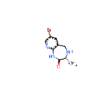 C[C@H]1NCc2cc(Br)cnc2NC1=O